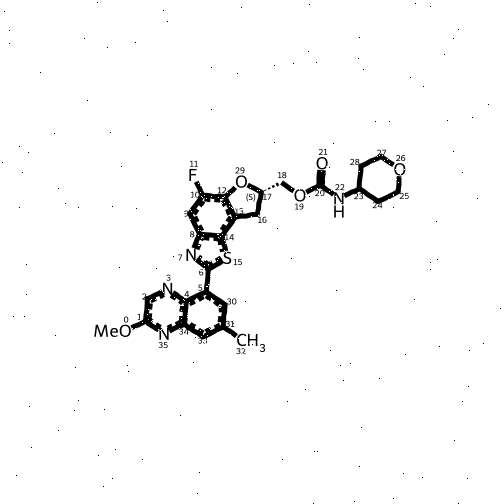 COc1cnc2c(-c3nc4cc(F)c5c(c4s3)C[C@@H](COC(=O)NC3CCOCC3)O5)cc(C)cc2n1